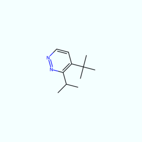 CC(C)c1nnccc1C(C)(C)C